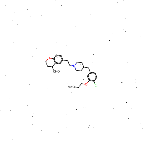 COCCOc1cc(CC2CCN(CCc3ccc4c(c3)C(C=O)CCO4)CC2)ccc1Cl